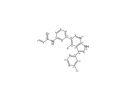 C=CC(=O)Nc1cccc(-c2cnc3[nH]cc(-c4cccc(C)c4)c3c2C)c1